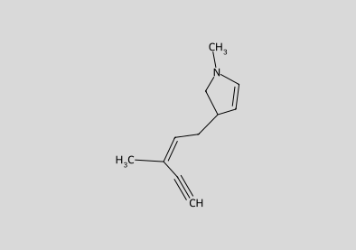 C#C/C(C)=C\CC1C=CN(C)C1